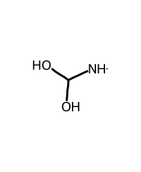 [NH]C(O)O